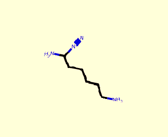 N#[N+]C(N)CCCCCN